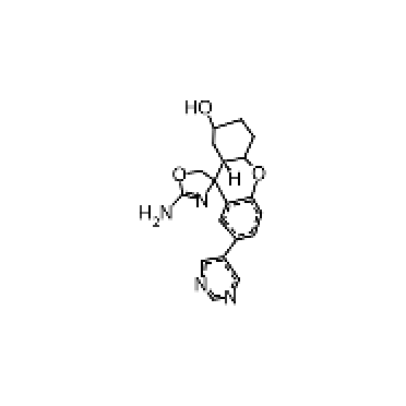 NC1=NC2(CO1)c1cc(-c3cncnc3)ccc1OC1CCC(O)C[C@H]12